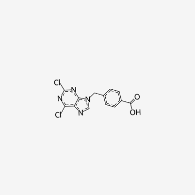 O=C(O)c1ccc(Cn2cnc3c(Cl)nc(Cl)nc32)cc1